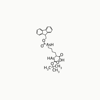 CC(C)(C)OC(=O)[AsH]C(CCCC[AsH]C(=O)OCC1c2ccccc2-c2ccccc21)C(=O)O